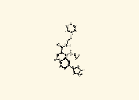 O=C(NCCc1cccnc1)c1cnc2ccc(-c3cn[nH]c3)cc2c1NC1CC1